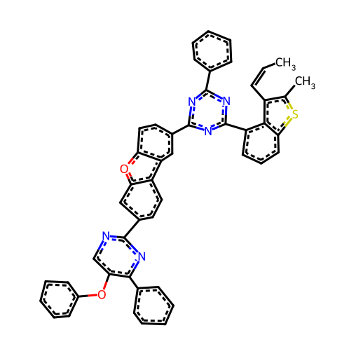 C/C=C\c1c(C)sc2cccc(-c3nc(-c4ccccc4)nc(-c4ccc5oc6cc(-c7ncc(Oc8ccccc8)c(-c8ccccc8)n7)ccc6c5c4)n3)c12